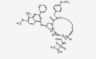 COc1ccc(CN2CCCCC/C=C\[C@@H]3C[C@@]3(C(=O)NS(=O)(=O)C3(C)CC3)NC(=O)[C@@H]3C[C@@H](Oc4nc(-c5ccccc5)nc5c(C)c(OC)ccc45)CN3C2=O)cc1